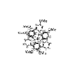 COc1ccc(C(B(C(c2ccccc2)(c2ccc(OC)cc2)c2ccc(OC)cc2)C(c2ccccc2)(c2ccc(OC)cc2)c2ccc(OC)cc2)(c2ccccc2)c2ccc(OC)cc2)cc1